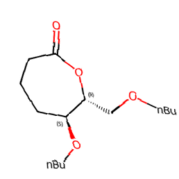 CCCCOC[C@H]1OC(=O)CCC[C@@H]1OCCCC